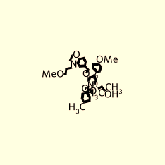 COCCCN1CCOc2ccc(CO[C@H]3CN(S(=O)(=O)c4ccc(C)cc4)[C@@H](CCC(C)(C)O)C[C@@H]3c3ccc(OC)cc3)cc21